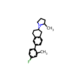 Cc1cc(F)ccc1-c1ccc2c(c1)CCC(N1CCCC1C)C2